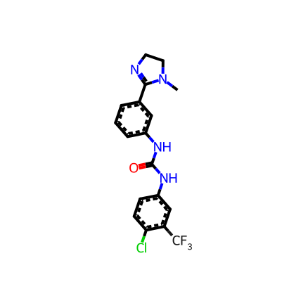 CN1CCN=C1c1cccc(NC(=O)Nc2ccc(Cl)c(C(F)(F)F)c2)c1